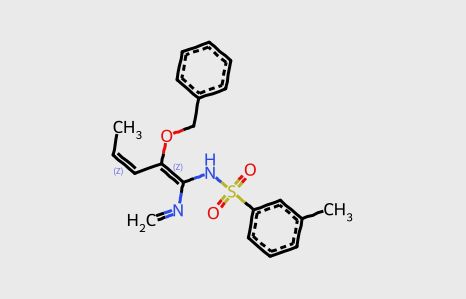 C=N/C(NS(=O)(=O)c1cccc(C)c1)=C(\C=C/C)OCc1ccccc1